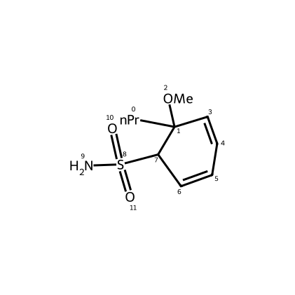 CCCC1(OC)C=CC=CC1S(N)(=O)=O